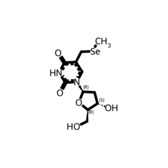 C[Se]Cc1cn([C@H]2C[C@H](O)[C@@H](CO)O2)c(=O)[nH]c1=O